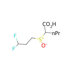 CCCC(C(=O)O)[S+]([O-])CCC(F)F